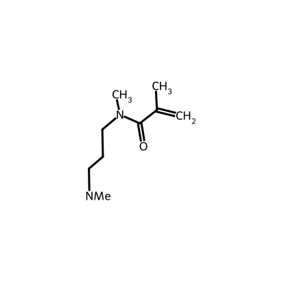 C=C(C)C(=O)N(C)CCCNC